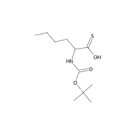 CCCCC(NC(=O)OC(C)(C)C)C(O)=S